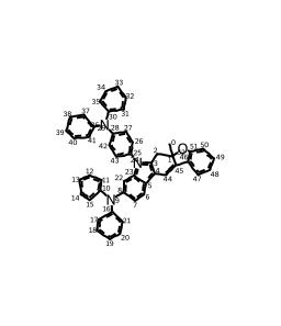 CC12Cc3c(c4ccc(N(c5ccccc5)c5ccccc5)cc4n3-c3ccc(N(c4ccccc4)c4ccccc4)cc3)C=C1c1ccccc1O2